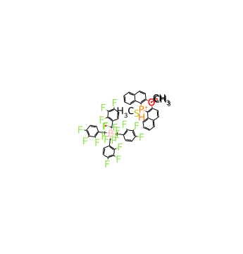 COc1ccc2ccccc2c1[PH+](SC)c1c(OC)ccc2ccccc12.Fc1ccc(C(F)(F)[B-](C(F)(F)c2ccc(F)c(F)c2F)(C(F)(F)c2ccc(F)c(F)c2F)C(F)(F)c2ccc(F)c(F)c2F)c(F)c1F